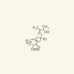 C=COCC(CC)(COC(=C)C(C)O)COC(=O)C(C)OC